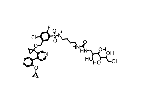 CN(CCCCNC(=O)NCC(O)C(O)C(O)C(O)CO)S(=O)(=O)c1cc(COC2(c3cnccc3-c3ccccc3OC3CC3)CC2)c(Cl)cc1F